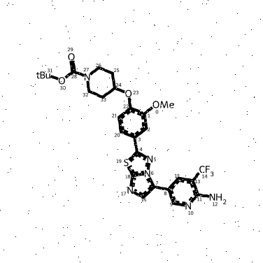 COc1cc(-c2nn3c(-c4cnc(N)c(C(F)(F)F)c4)cnc3s2)ccc1OC1CCN(C(=O)OC(C)(C)C)CC1